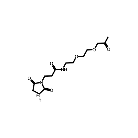 CC(=O)COCCOCCNC(=O)CCN1C(=O)C[C@@H](C)C1=O